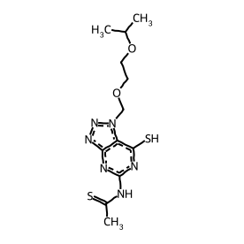 CC(=S)Nc1nc(S)c2c(nnn2COCCOC(C)C)n1